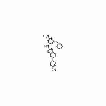 N#Cc1ccc(-c2ccc3nc(Nc4cc(Cc5ccccc5)nc(N)n4)sc3c2)cn1